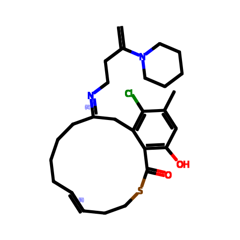 C=C(CC/N=C1/CCCC/C=C/CCSC(=O)c2c(O)cc(C)c(Cl)c2C1)N1CCCCC1